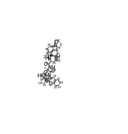 [2H][C@@H]1C(C(=O)N[C@]2(C)O[C@@]3(O)[C@@H]4CCCN4C(=O)[C@H](Cc4ccccc4)N3C2=O)CN(C)[C@@H]2Cc3cn(C(F)(F)F)c4cccc(c34)[C@@]12[2H]